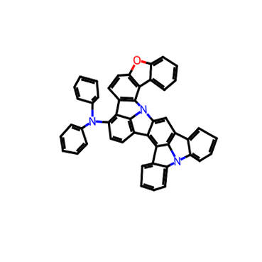 c1ccc(N(c2ccccc2)c2ccc3c4c5c6ccccc6n6c7ccccc7c(cc4n4c3c2c2ccc3oc7ccccc7c3c24)c56)cc1